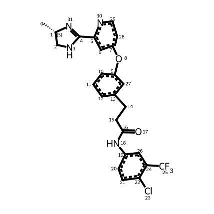 C[C@H]1CNC(c2cc(Oc3cccc(CCC(=O)Nc4ccc(Cl)c(C(F)(F)F)c4)c3)ccn2)=N1